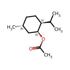 CC(=O)O[C@H]1C[C@H](C)CC[C@H]1C(C)C